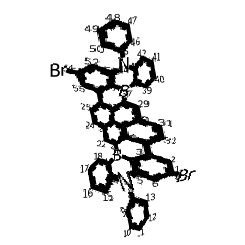 Brc1cc2c3c(c1)N(c1ccccc1)c1ccccc1B3c1cc3ccc4c5c(cc6ccc-2c1c6c35)B1c2ccccc2N(c2ccccc2)c2cc(Br)cc-4c21